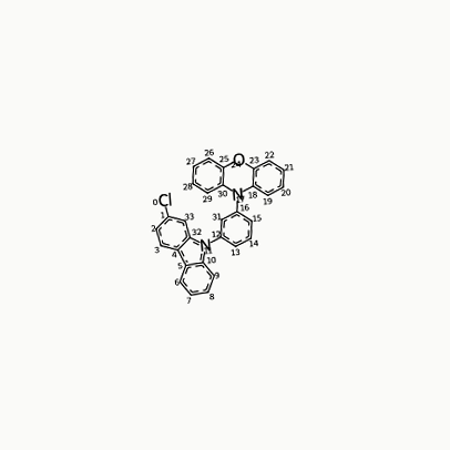 Clc1ccc2c3ccccc3n(-c3cccc(N4c5ccccc5Oc5ccccc54)c3)c2c1